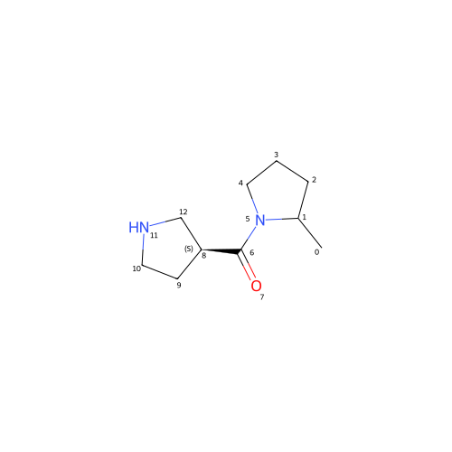 CC1CCCN1C(=O)[C@H]1CCNC1